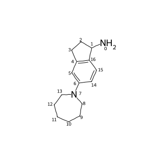 NC1CCc2cc(N3CCCCCC3)ccc21